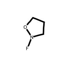 FN1CCCO1